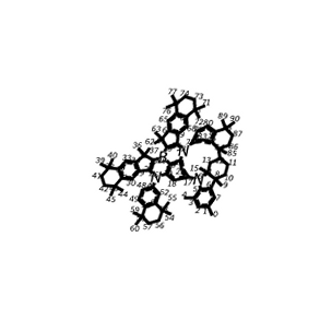 Cc1cc(C)c2c(c1)C1(C)CCC3CC1(C)N2c1cc2c4c(c1)N(C1=C(B4C4=C(c5cc6c(cc5C4(C)C)C(C)(C)CCC6(C)C)N2c2ccc4c(c2)C(C)(C)CCC4(C)C)C(C)(C)c2cc4c(cc21)C(C)(C)CCC4(C)C)c1ccc2c(c1)C3(C)CCC2(C)C